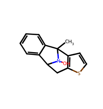 CC12c3ccccc3C(Cc3sccc31)N2O